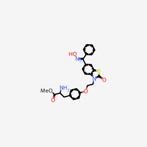 COC(=O)C(N)Cc1ccc(OCCn2c(=O)sc3cc(/C(=N/O)c4ccccc4)ccc32)cc1